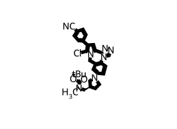 CN(C[C@@H]1CCN(c2ccc3c(c2)Cn2c(cc(-c4ccc(C#N)cc4)c2Cl)-c2nncn2-3)C1)C(=O)OC(C)(C)C